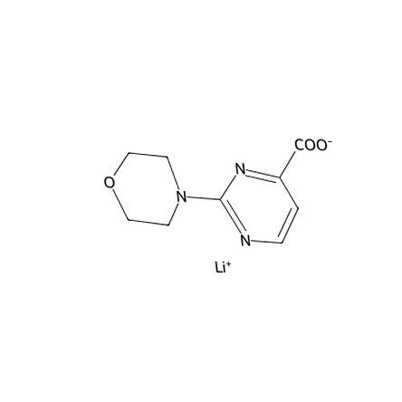 O=C([O-])c1ccnc(N2CCOCC2)n1.[Li+]